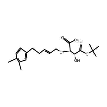 Cc1ccc(CCC=CCO[C@@H](C(=O)O)[C@@H](O)C(=O)OC(C)(C)C)cc1C